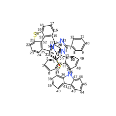 c1ccc(-c2nc(-c3ccccc3)nc(-c3cccc4sc5cccc(-c6ccc7c(c6)sc6c(-n8c9ccccc9c9ccccc98)cccc67)c5c34)n2)cc1